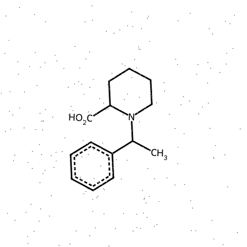 CC(c1ccccc1)N1CCCCC1C(=O)O